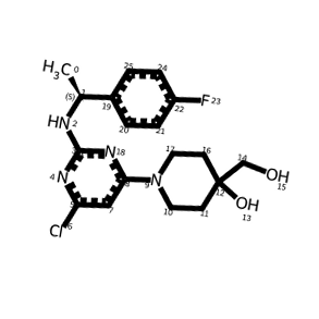 C[C@H](Nc1nc(Cl)cc(N2CCC(O)(CO)CC2)n1)c1ccc(F)cc1